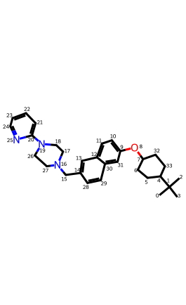 CC(C)(C)C1CCC(Oc2ccc3cc(CN4CCN(c5ccccn5)CC4)ccc3c2)CC1